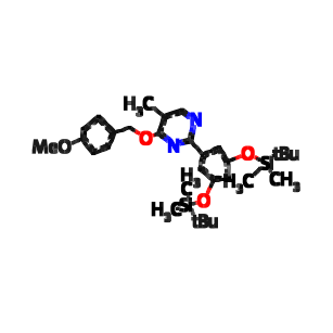 COc1ccc(COc2nc(-c3cc(O[Si](C)(C)C(C)(C)C)cc(O[Si](C)(C)C(C)(C)C)c3)ncc2C)cc1